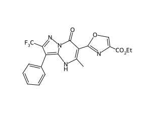 CCOC(=O)c1coc(-c2c(C)[nH]c3c(-c4ccccc4)c(C(F)(F)F)nn3c2=O)n1